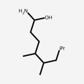 CC(C)CC(C)C(C)CCC(N)O